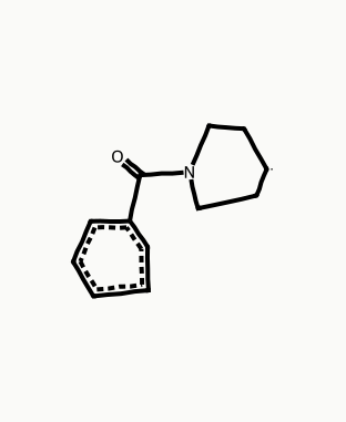 O=C(c1ccccc1)N1CC[CH]CC1